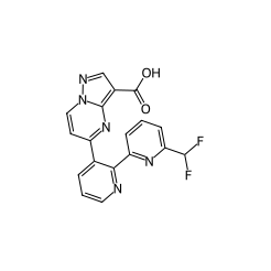 O=C(O)c1cnn2ccc(-c3cccnc3-c3cccc(C(F)F)n3)nc12